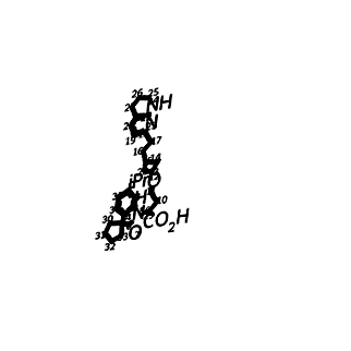 CC(C)c1ccc(C2(C(=O)N[C@@H](CCOC3CC(CCc4ccc5c(n4)NCCC5)C3)C(=O)O)CCCC2)cc1